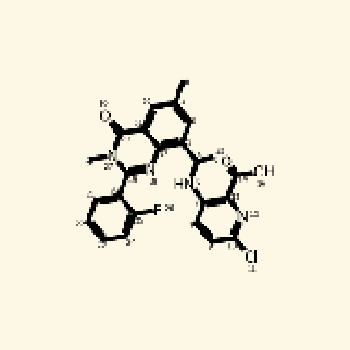 Cc1cc(C(C)Nc2ccc(Cl)nc2C(=O)O)c2nc(-c3ccccc3F)n(C)c(=O)c2c1